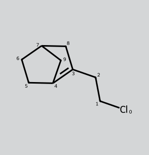 ClCCC1=C2CCC(C1)C2